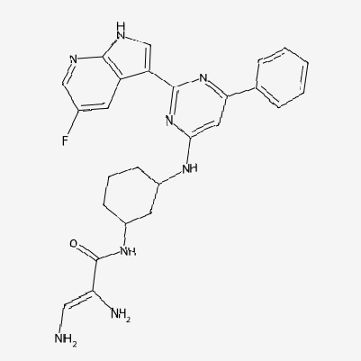 N/C=C(\N)C(=O)NC1CCCC(Nc2cc(-c3ccccc3)nc(-c3c[nH]c4ncc(F)cc34)n2)C1